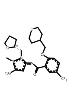 Cn1c(C(C)(C)C)c/c(=N\C(=O)c2cc(C(F)(F)F)ccc2OCC2CCOCC2)n1C[C@H]1CCCO1